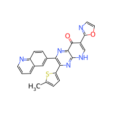 Cc1ccc(-c2nc3[nH]cc(-c4ncco4)c(=O)c3nc2-c2ccc3ncccc3c2)s1